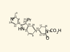 Cc1cc(-c2[nH]c3ccc(C4=CC(=O)N(C(=O)O)CC4)cc3c2C(C)C)ccn1